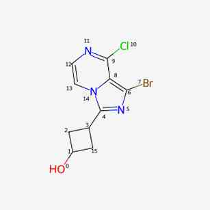 OC1CC(c2nc(Br)c3c(Cl)nccn23)C1